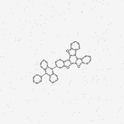 c1ccc(-c2c3ccccc3c(-c3ccc4c(c3)oc3c5oc6ccccc6c5c5c6ccccc6oc5c43)c3ccccc23)cc1